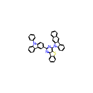 c1ccc(-n2c3ccccc3c3cc(-c4nc(-n5c6ccccc6c6cc7ccccc7cc65)c5sc6ccccc6c5n4)ccc32)cc1